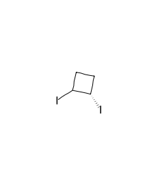 IC1CC[C@@H]1I